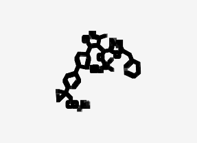 CCOC(=O)CC1(c2ccc(-c3ccc(-c4onc(C)c4C(O[Si](C)(C)C(C)(C)C)c4nnc(Cc5ccccc5)o4)cc3)cc2)CC1